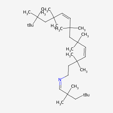 CC(C)(C)CC(C)(C)/C=N\CCC(C)(C)/C=C\C(C)(C)CC(C)(C)/C=C\C(C)(C)CC(C)(C)C(C)(C)C